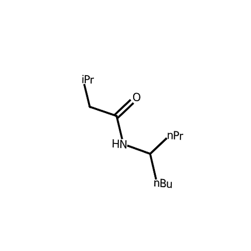 CCCCC(CCC)NC(=O)CC(C)C